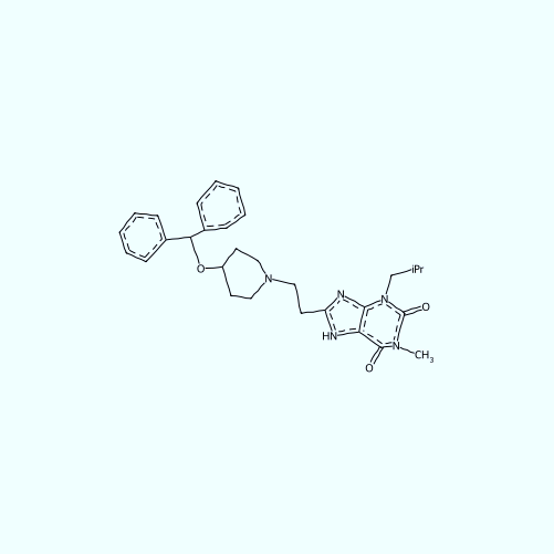 CC(C)Cn1c(=O)n(C)c(=O)c2[nH]c(CCN3CCC(OC(c4ccccc4)c4ccccc4)CC3)nc21